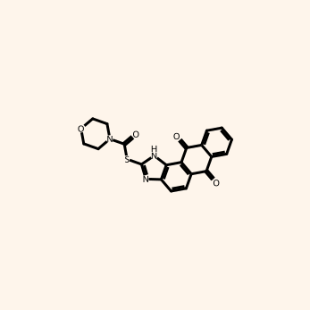 O=C1c2ccccc2C(=O)c2c1ccc1nc(SC(=O)N3CCOCC3)[nH]c21